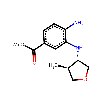 COC(=O)c1ccc(N)c(N[C@@H]2COC[C@H]2C)c1